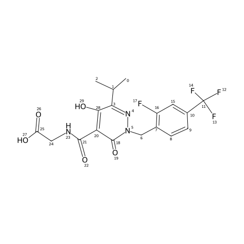 CC(C)c1nn(Cc2ccc(C(F)(F)F)cc2F)c(=O)c(C(=O)NCC(=O)O)c1O